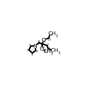 CCCC([CH]N1CCCC1)(OC)OCC